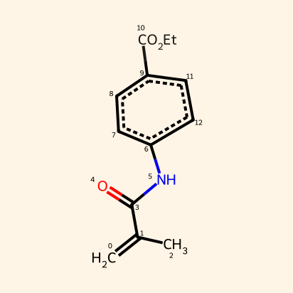 C=C(C)C(=O)Nc1ccc(C(=O)OCC)cc1